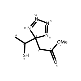 [CH2]C(S)C1(CC(=O)OC)N=NN=N1